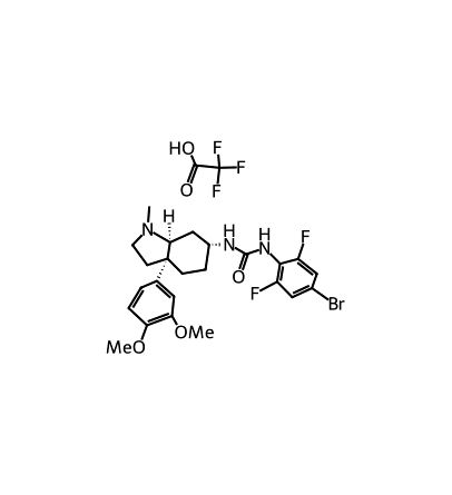 COc1ccc([C@@]23CC[C@@H](NC(=O)Nc4c(F)cc(Br)cc4F)C[C@@H]2N(C)CC3)cc1OC.O=C(O)C(F)(F)F